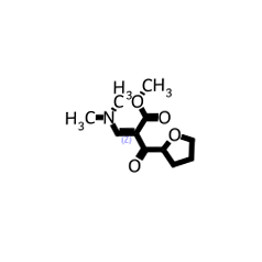 COC(=O)/C(=C\N(C)C)C(=O)C1CCCO1